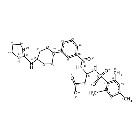 Cc1cc(C)c(S(=O)(=O)NC(CC(=O)O)NC(=O)c2cccc(N3CCC(NC4=NCCCN4)CC3)c2)c(C)c1